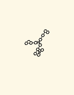 c1ccc(-c2ccc(-c3cccc(N(c4ccc(-c5ccc(-c6cccc7ccccc67)cc5)cc4)c4ccc(-c5ccc6c(ccc7ccccc76)c5)cc4)c3)c3c4ccccc4n(-c4ccccc4)c23)cc1